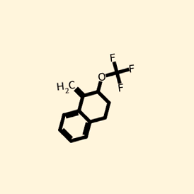 C=C1c2ccccc2CCC1OC(F)(F)F